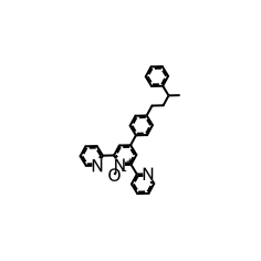 CC(CCc1ccc(-c2cc(-c3ccccn3)[n+]([O-])c(-c3ccccn3)c2)cc1)c1ccccc1